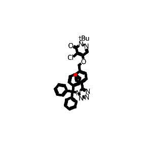 CC(C)(C)n1ncc(OCc2ccc(-c3nnnn3C(c3ccccc3)(c3ccccc3)c3ccccc3)cc2)c(Cl)c1=O